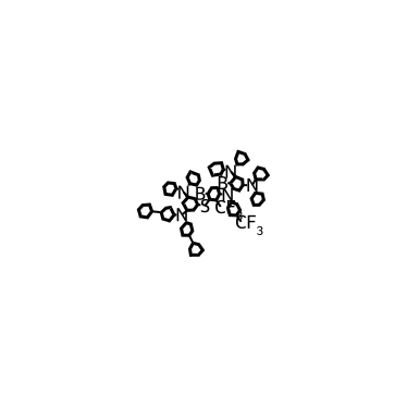 FC(F)(F)c1ccc(N2c3cc(N(c4ccccc4)c4ccccc4)cc4c3B(c3ccccc3N4c3ccccc3)c3cc4c(c(C(F)(F)F)c32)Sc2cc(N(c3ccc(-c5ccccc5)cc3)c3ccc(-c5ccccc5)cc3)cc3c2B4c2ccccc2N3c2ccccc2)cc1